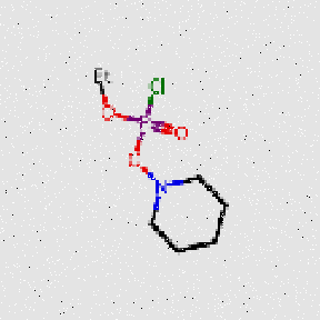 CCOP(=O)(Cl)ON1CCCCC1